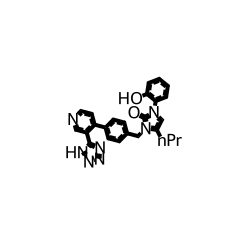 CCCc1cn(-c2ccccc2O)c(=O)n1Cc1ccc(-c2ccncc2-c2nnn[nH]2)cc1